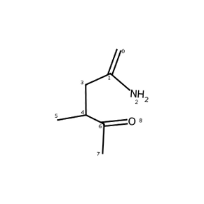 C=C(N)CC(C)C(C)=O